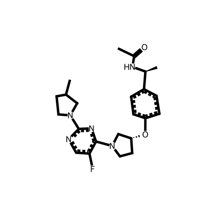 CC(=O)N[C@@H](C)c1ccc(O[C@@H]2CCN(c3nc(N4CCC(C)C4)ncc3F)C2)cc1